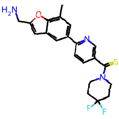 Cc1cc(-c2ccc(C(=S)N3CCC(F)(F)CC3)cn2)cc2cc(CN)oc12